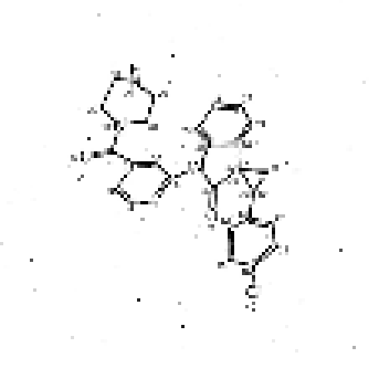 O=C(c1cccc(N2C(=O)[C@]3(C[C@H]3c3ccc(Cl)cc3)c3ccccc32)c1)N1CCNCC1